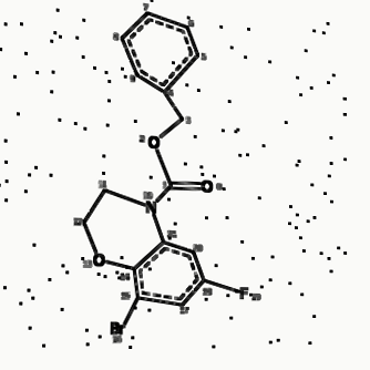 O=C(OCc1ccccc1)N1CCOc2c(Br)cc(F)cc21